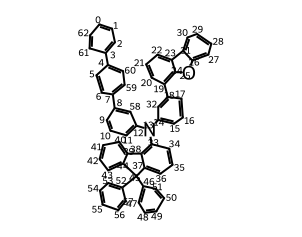 c1ccc(-c2ccc(-c3cccc(N(c4cccc(-c5cccc6c5oc5ccccc56)c4)c4cccc5c4-c4ccccc4C5(c4ccccc4)c4ccccc4)c3)cc2)cc1